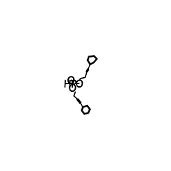 O=[PH](OCCC#Cc1ccccc1)OCCC#Cc1ccccc1